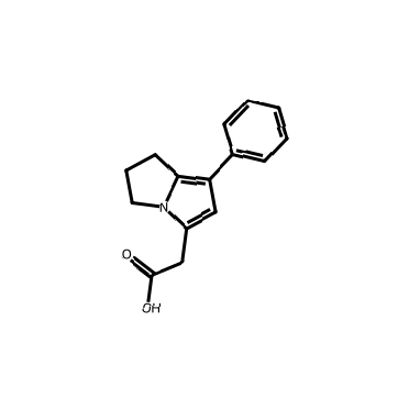 O=C(O)Cc1cc(-c2ccccc2)c2n1CCC2